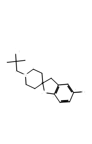 CC(C)(O)CN1CCC2(CC1)Cc1cc(Br)ccc1O2